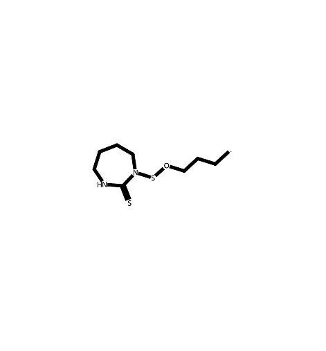 [CH2]CCCOSN1CCCCNC1=S